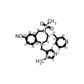 Cn1cncc1CN1C[C@@H](Cc2cccnc2)N(S(C)(=O)=O)Cc2cc(C#N)ccc21